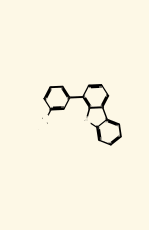 Nc1cccc(-c2cccc3c2[se]c2ccccc23)c1